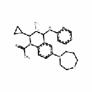 CC(=O)N1c2ccc(N3CCCOCC3)cc2C(Nc2ccccn2)[C@@H](C)C1C1CC1